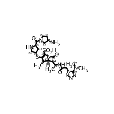 C[C@@H](NC(=O)Cn1nnnc1N(C)C)[C@H]1C(=O)N2C(C(=O)O)=C(S[C@@H]3CNC(C(=O)N4CC[C@@H](N)C4)C3)[C@H](C)[C@@H]12